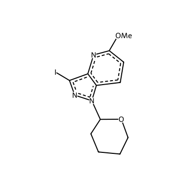 COc1ccc2c(n1)c(I)nn2C1CCCCO1